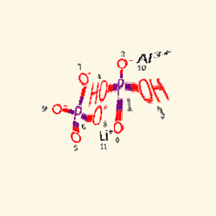 O=P([O-])(O)O.O=P([O-])([O-])[O-].[Al+3].[Li+]